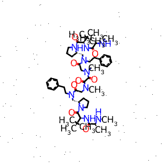 CN[C@@H](C)C(=O)N[C@H](C(=O)N1CCC[C@H]1CN(CCc1ccccc1)C(=O)CN(C)C(=O)C(=O)N(C)CC(=O)N(CCc1ccccc1)C[C@@H]1CCCN1C(=O)[C@@H](NC(=O)[C@H](C)NC)C(C)(C)C)C(C)(C)C